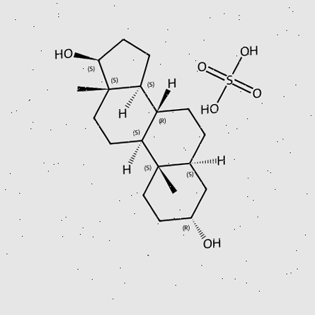 C[C@]12CC[C@@H](O)C[C@@H]1CC[C@@H]1[C@@H]2CC[C@]2(C)[C@@H](O)CC[C@@H]12.O=S(=O)(O)O